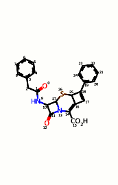 O=C(Cc1ccccc1)NC1C(=O)N2C(C(=O)O)=C3C=C(c4ccccc4)C3SC12